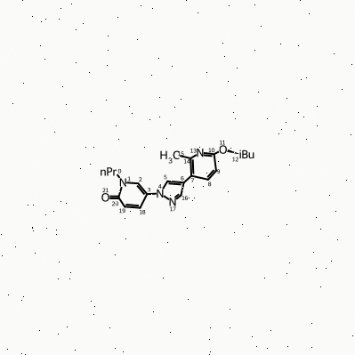 CCCn1cc(-n2cc(-c3ccc(O[C@H](C)CC)nc3C)cn2)ccc1=O